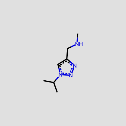 CNCc1cn(C(C)C)nn1